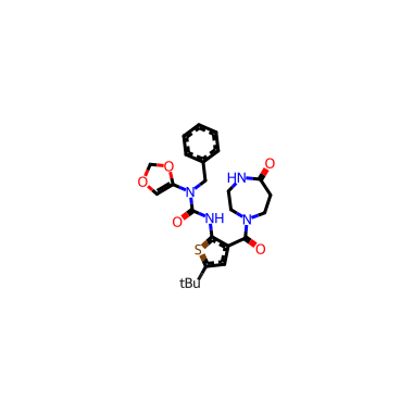 CC(C)(C)c1cc(C(=O)N2CCNC(=O)CC2)c(NC(=O)N(Cc2ccccc2)C2=COCO2)s1